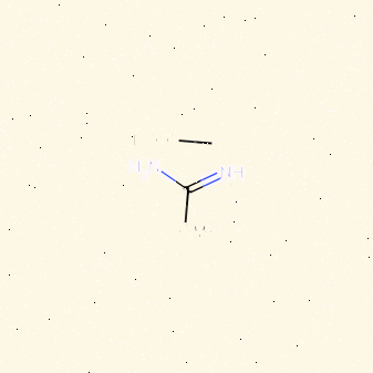 CC(=O)O.COC(=N)N